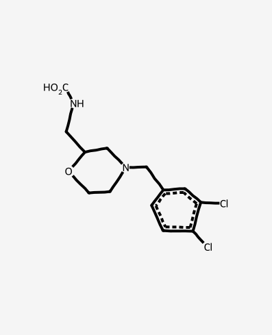 O=C(O)NCC1CN(Cc2ccc(Cl)c(Cl)c2)CCO1